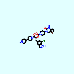 CN1CCC(C2CCN(C(=O)[C@@H](Cc3cc(Cl)c4[nH]ncc4c3)OC(=O)N3CCC(N4Cc5sccc5NC4=O)CC3)CC2)CC1